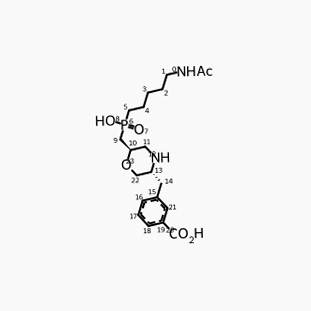 CC(=O)NCCCCCP(=O)(O)C[C@H]1CN[C@H](Cc2cccc(C(=O)O)c2)CO1